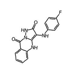 O=c1[nH]n2c(=O)c3ccccc3[nH]c2c1Nc1ccc(F)cc1